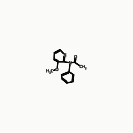 COc1cccnc1N(C(C)=O)c1ccccc1